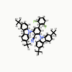 CC(C)(C)c1ccc2c(c1)c1ccc(C(C)(C)C)cc1n2-c1cc(-c2c(F)cccc2F)cc(-n2c3ccc(C(C)(C)C)cc3c3ccc(C(C)(C)C)cc32)c1C#N